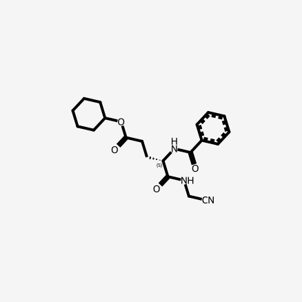 N#CCNC(=O)[C@H](CCC(=O)OC1CCCCC1)NC(=O)c1ccccc1